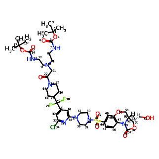 CC(C)(C)OC(=O)NCCN(CCNC(=O)OC(C)(C)C)CC(=O)N1CCC(C(F)(F)c2cc(Cl)nc(N3CCN(S(=O)(=O)c4ccc5c(c4)OC[C@@H]4[C@H](CO)OC(=O)N54)CC3)c2)CC1